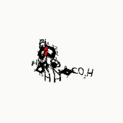 O=C(NC12CC(C(=O)O)(C1)C2)[C@@H]1NC2(CCCCC2)[C@@]2(C(=O)Nc3cc(Cl)ccc32)[C@H]1c1cccc(Cl)c1F